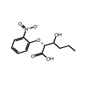 CCCC(O)[C@@H](Oc1ccccc1[N+](=O)[O-])C(=O)O